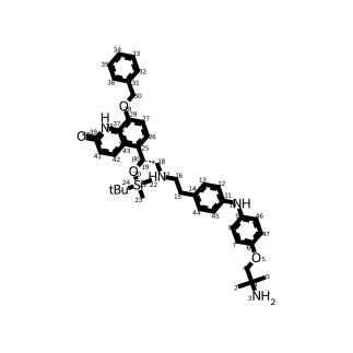 CC(C)(N)COc1ccc(Nc2ccc(CCNC[C@H](O[Si](C)(C)C(C)(C)C)c3ccc(OCc4ccccc4)c4[nH]c(=O)ccc34)cc2)cc1